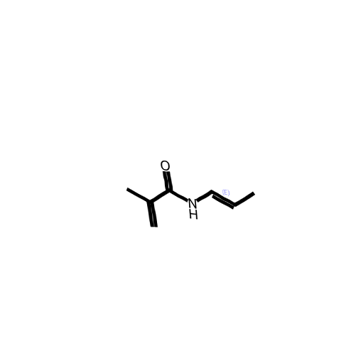 C=C(C)C(=O)N/C=C/C